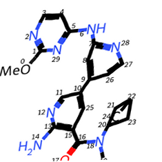 COc1nccc(Nc2cc(-c3cnc(N)c(C(=O)N(C)C45CC(C4)C5)c3)ccn2)n1